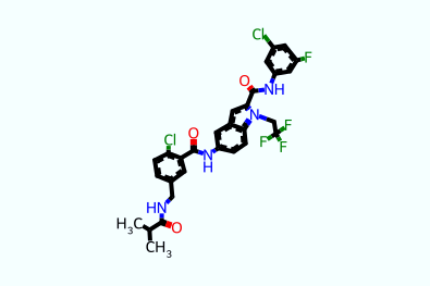 CC(C)C(=O)NCc1ccc(Cl)c(C(=O)Nc2ccc3c(c2)cc(C(=O)Nc2cc(F)cc(Cl)c2)n3CC(F)(F)F)c1